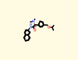 CC(C)OCc1ccc([C@H](C(=O)Nc2ccc3ccccc3c2)N(C)C)cc1